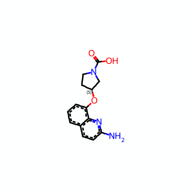 Nc1ccc2cccc(O[C@H]3CCN(C(=O)O)C3)c2n1